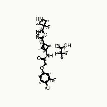 O=C(COc1ccc(Cl)c(F)c1)NC12CC(c3nnc(C4(F)CNC4)o3)(C1)C2.O=C(O)C(F)(F)F